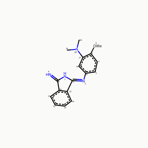 COc1ccc(N=C2NC(=N)c3ccccc32)cc1N(C)C